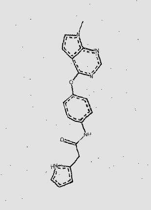 Cn1ccc2c(Oc3ccc(NC(=O)Cc4ccc[nH]4)cc3)ncnc21